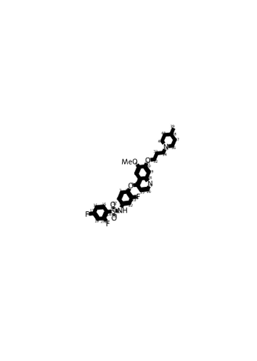 COc1cc2c(Oc3ccc(NS(=O)(=O)c4ccc(F)cc4F)cc3F)ccnc2cc1OCCCN1CCC(C)CC1